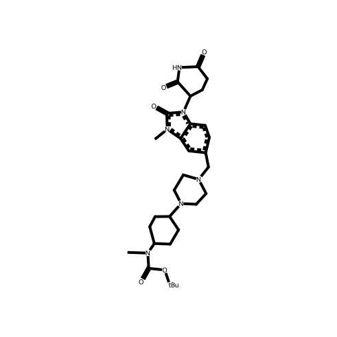 CN(C(=O)OC(C)(C)C)C1CCC(N2CCN(Cc3ccc4c(c3)n(C)c(=O)n4C3CCC(=O)NC3=O)CC2)CC1